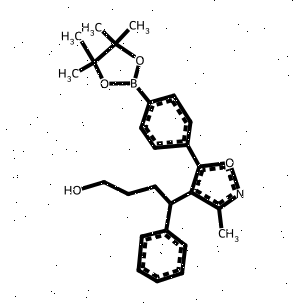 Cc1noc(-c2ccc(B3OC(C)(C)C(C)(C)O3)cc2)c1C(CCCO)c1ccccc1